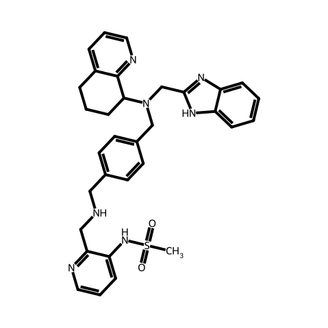 CS(=O)(=O)Nc1cccnc1CNCc1ccc(CN(Cc2nc3ccccc3[nH]2)C2CCCc3cccnc32)cc1